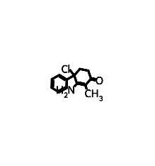 CC1=C(N)C(Cl)(c2ccccc2)CCC1=O